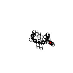 C[C@H]1COCCN1c1nc(-c2ccc(NC(=O)Nc3ccc(C(=O)N4CC[C@@H](N(C)C)C4)cc3)cc2)nc(N2C3CCC2COC3)n1